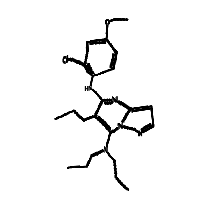 CCCc1c(Nc2ccc(OC)cc2Cl)nc2ccnn2c1N(CCC)CCC